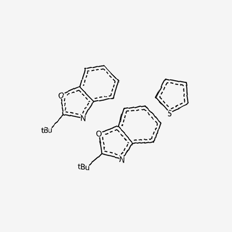 CC(C)(C)c1nc2ccccc2o1.CC(C)(C)c1nc2ccccc2o1.c1ccsc1